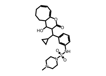 CN1CCN(S(=O)(=O)Nc2cccc(C(C3CC3)C3C(=O)OC4=CC=CCCCC4C3O)c2)CC1